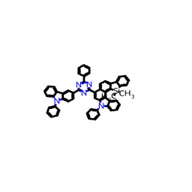 C[Si]1(C)c2ccccc2-c2ccc3c(-c4nc(-c5ccccc5)nc(-c5ccc6c(c5)c5ccccc5n6-c5ccccc5)n4)cc4c(c5ccccc5n4-c4ccccc4)c3c21